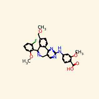 COCc1ccc2c(c1)C(c1c(F)cccc1OC)=NCc1cnc(Nc3ccc(C(=O)O)c(OC)c3)nc1-2